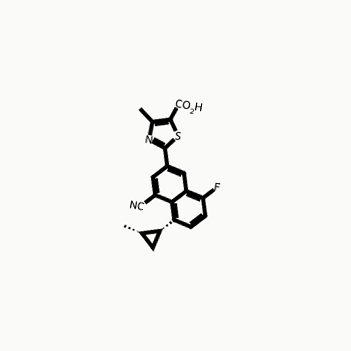 Cc1nc(-c2cc(C#N)c3c([C@@H]4C[C@@H]4C)ccc(F)c3c2)sc1C(=O)O